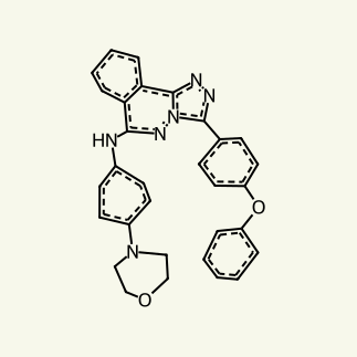 c1ccc(Oc2ccc(-c3nnc4c5ccccc5c(Nc5ccc(N6CCOCC6)cc5)nn34)cc2)cc1